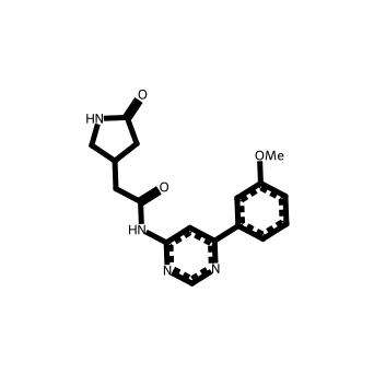 COc1cccc(-c2cc(NC(=O)CC3CNC(=O)C3)ncn2)c1